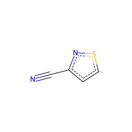 N#Cc1c[c]sn1